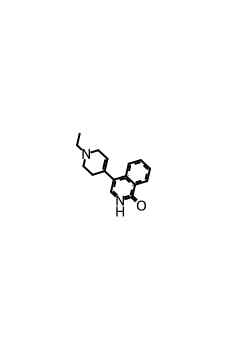 CCN1CC=C(c2c[nH]c(=O)c3ccccc23)CC1